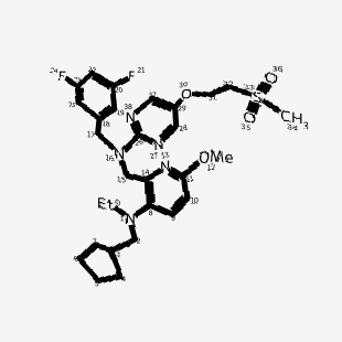 CCN(CC1CCCC1)c1ccc(OC)nc1CN(Cc1cc(F)cc(F)c1)c1ncc(OCCS(C)(=O)=O)cn1